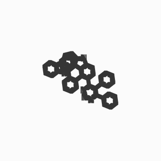 c1ccc(-c2ccccc2-c2c(-c3nnnc(-c4ccccc4)c3-c3ccccc3)ccc3c2-c2c4c(ccc2=N3)=c2ccccc2=N4)cc1